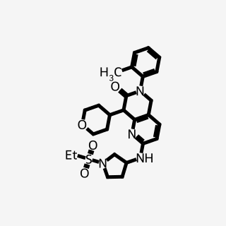 CCS(=O)(=O)N1CCC(Nc2ccc3c(n2)C(C2CCOCC2)C(=O)N(c2ccccc2C)C3)C1